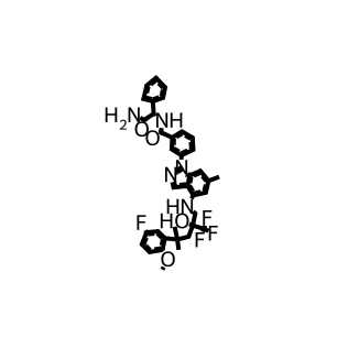 COc1ccc(F)cc1C(C)(C)CC(O)(CNc1cc(C)cc2c1cnn2-c1cccc(C(=O)N[C@@H](C(N)=O)c2ccccc2)c1)C(F)(F)F